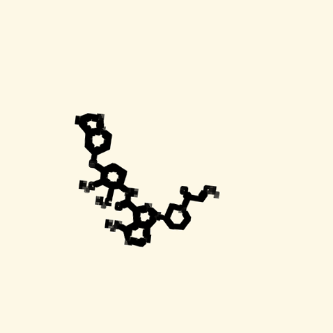 C=CC(=O)N1CCC[C@@H](n2nc(C(=O)Nc3ccc(Oc4ccn5ncnc5c4)c(C)c3C)c3c(N)ncnc32)C1